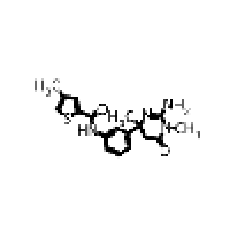 Cc1csc(C(=O)Nc2cccc(C3(C)CC(=O)N(C)C(N)=N3)c2)c1